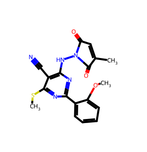 COc1ccccc1-c1nc(NN2C(=O)C=C(C)C2=O)c(C#N)c(SC)n1